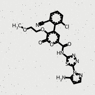 COCCOc1c(-c2c(Cl)cccc2C#N)cc(C(=O)Nc2nnc(-n3nccc3N)s2)oc1=O